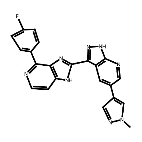 Cn1cc(-c2cnc3[nH]nc(-c4nc5c(-c6ccc(F)cc6)nccc5[nH]4)c3c2)cn1